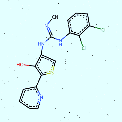 N#CN=C(Nc1csc(-c2ccccn2)c1O)Nc1cccc(Cl)c1Cl